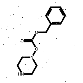 O=C(OCc1ccccc1)ON1CCNCC1